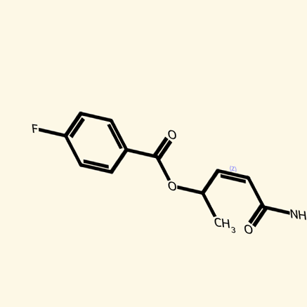 CC(/C=C\C(N)=O)OC(=O)c1ccc(F)cc1